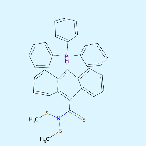 CSN(SC)C(=S)c1c2ccccc2c([PH](c2ccccc2)(c2ccccc2)c2ccccc2)c2ccccc12